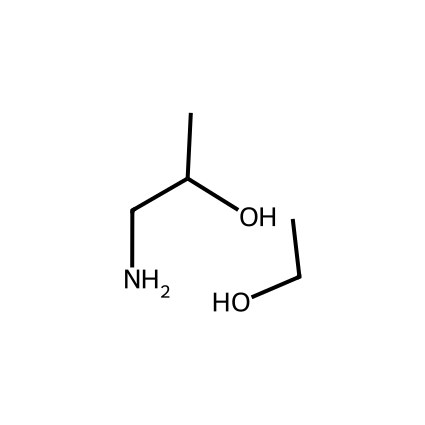 CC(O)CN.CCO